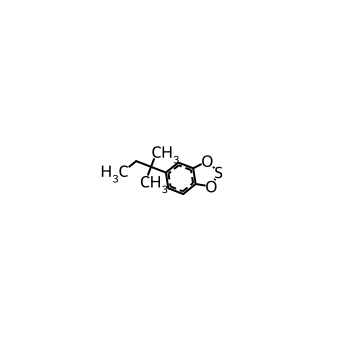 CCC(C)(C)c1ccc2c(c1)OSO2